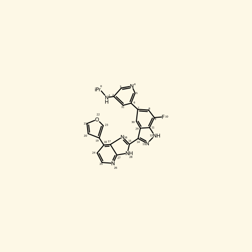 CC(C)Nc1cncc(-c2cc(F)c3[nH]nc(-c4nc5c(-c6ccoc6)ccnc5[nH]4)c3c2)c1